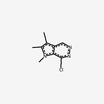 Cc1c(C)n(C)c2c(Cl)nncc12